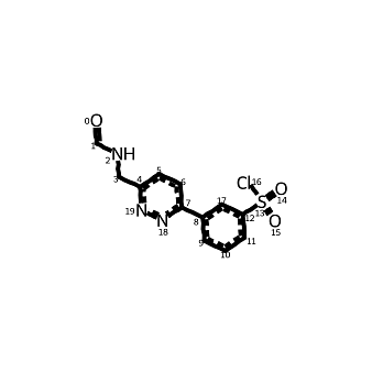 O=CNCc1ccc(-c2cccc(S(=O)(=O)Cl)c2)nn1